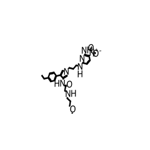 CCc1ccc(-c2cn(CCCNc3ccc([N+](=O)[O-])c(N)n3)cc2NC(=O)CNCCCOC)cc1